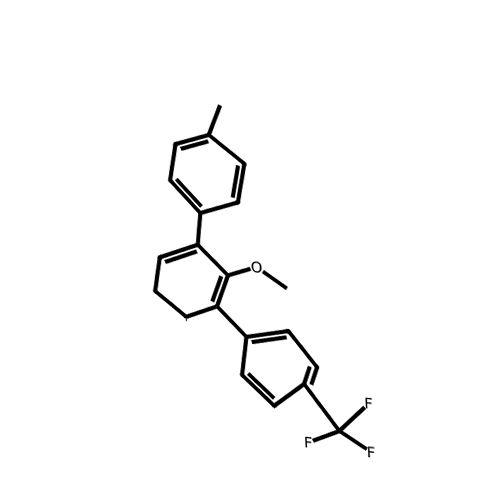 COC1=C(c2ccc(C(F)(F)F)cc2)[CH]CC=C1c1ccc(C)cc1